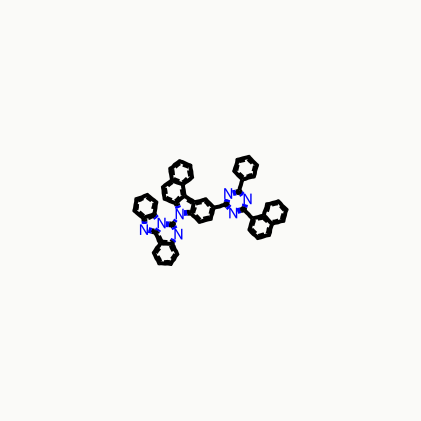 c1ccc(-c2nc(-c3ccc4c(c3)c3c5ccccc5ccc3n4-c3nc4ccccc4c4nc5ccccc5n34)nc(-c3cccc4ccccc34)n2)cc1